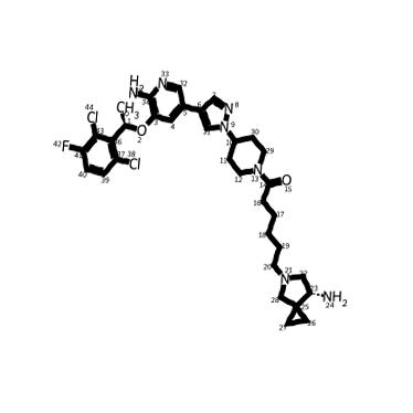 C[C@@H](Oc1cc(-c2cnn(C3CCN(C(=O)CCCCCN4C[C@H](N)C5(CC5)C4)CC3)c2)cnc1N)c1c(Cl)ccc(F)c1Cl